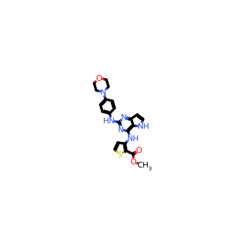 COC(=O)c1sccc1Nc1nc(Nc2ccc(N3CCOCC3)cc2)nc2cc[nH]c12